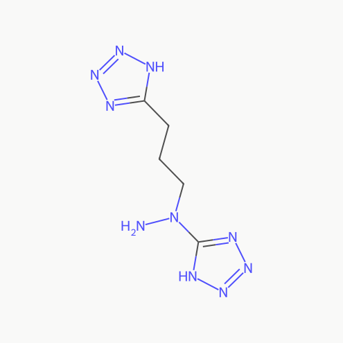 NN(CCCc1nnn[nH]1)c1nnn[nH]1